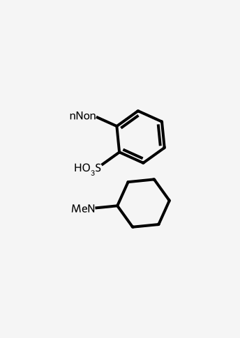 CCCCCCCCCc1ccccc1S(=O)(=O)O.CNC1CCCCC1